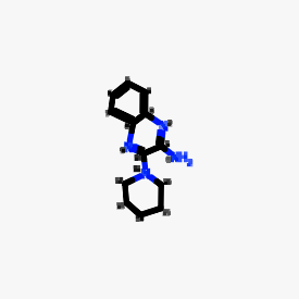 Nc1nc2ccccc2nc1N1CCCCC1